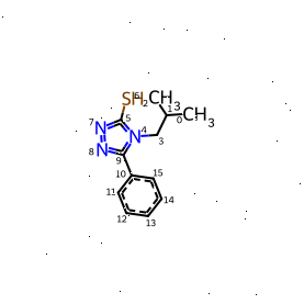 CC(C)Cn1c(S)nnc1-c1ccccc1